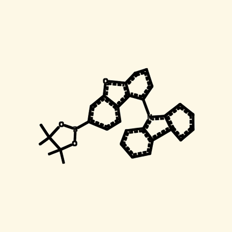 CC1(C)OB(c2ccc3c(c2)oc2cccc(-n4c5ccccc5c5ccccc54)c23)OC1(C)C